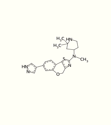 CN(c1nc2c(s1)-c1ccc(-c3cn[nH]c3)cc1OC2)C1CCNC(C)(C)C1